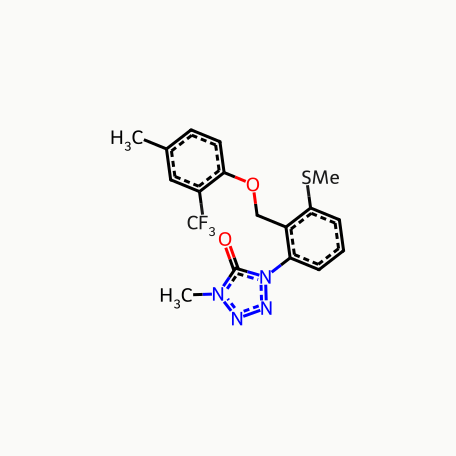 CSc1cccc(-n2nnn(C)c2=O)c1COc1ccc(C)cc1C(F)(F)F